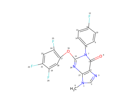 Cn1cnc2c(=O)n(-c3ccc(F)cc3)c(Oc3cc(F)c(F)cc3F)nc21